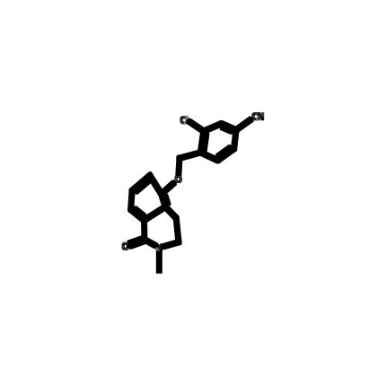 CN1CCc2c(OCc3ccc(C#N)cc3Cl)cccc2C1=O